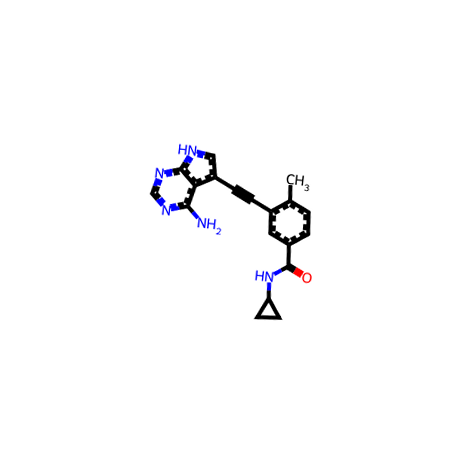 Cc1ccc(C(=O)NC2CC2)cc1C#Cc1c[nH]c2ncnc(N)c12